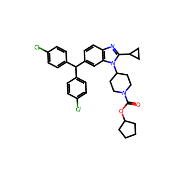 O=C(OC1CCCC1)N1CCC(n2c(C3CC3)nc3ccc(C(c4ccc(Cl)cc4)c4ccc(Cl)cc4)cc32)CC1